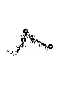 O=C(O)CCCC(=O)NCCN1CCC(Nc2nc(NCc3cn(CCCNCCCNC4CCCCC4)nn3)nc3ccccc23)CC1